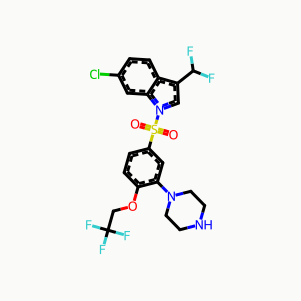 O=S(=O)(c1ccc(OCC(F)(F)F)c(N2CCNCC2)c1)n1cc(C(F)F)c2ccc(Cl)cc21